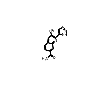 CCCc1cc2ccc(C(N)=O)cc2nc1-c1cnn[nH]1